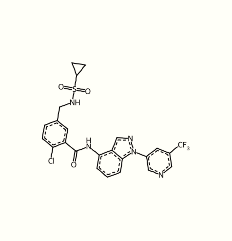 O=C(Nc1cccc2c1cnn2-c1cncc(C(F)(F)F)c1)c1cc(CNS(=O)(=O)C2CC2)ccc1Cl